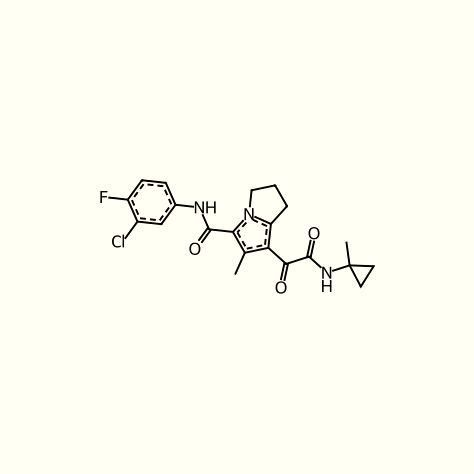 Cc1c(C(=O)C(=O)NC2(C)CC2)c2n(c1C(=O)Nc1ccc(F)c(Cl)c1)CCC2